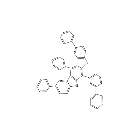 c1ccc(-c2cccc(-c3c4sc5ccc(-c6ccccc6)cc5c4c(-c4ccccc4)c4c3sc3ccc(-c5ccccc5)cc34)c2)cc1